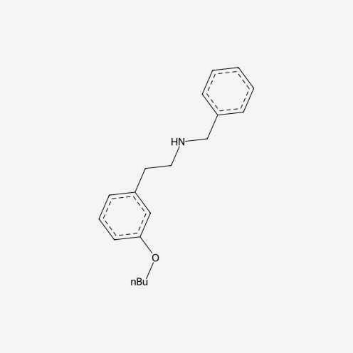 CCCCOc1cccc(CCNCc2ccccc2)c1